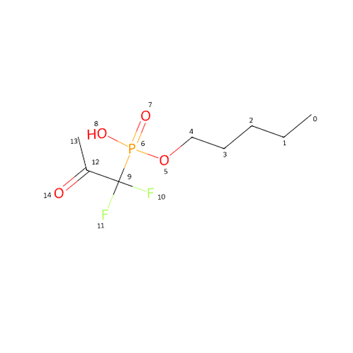 CCCCCOP(=O)(O)C(F)(F)C(C)=O